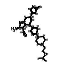 CC(C)OCCN1CCN(c2ccc(-c3cc(-c4cnn(C)c4)cn4nc(N)c(C#N)c34)cn2)CC1